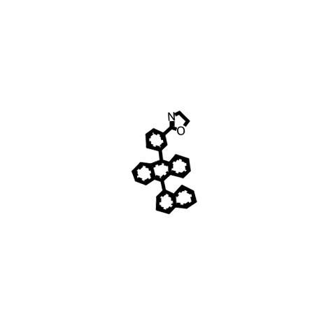 c1cc(C2=NCCO2)cc(-c2c3ccccc3c(-c3cccc4ccccc34)c3ccccc23)c1